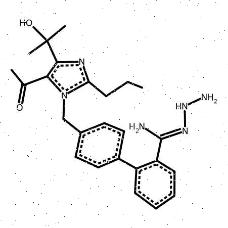 CCCc1nc(C(C)(C)O)c(C(C)=O)n1Cc1ccc(-c2ccccc2/C(N)=N/NN)cc1